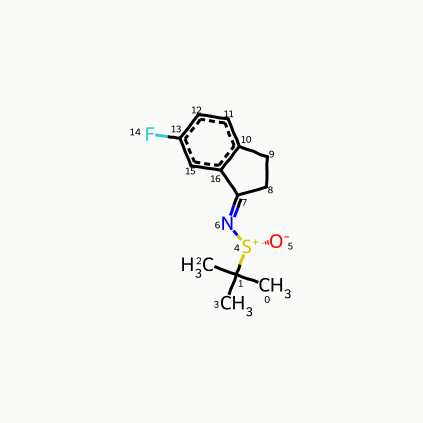 CC(C)(C)[S@@+]([O-])N=C1CCc2ccc(F)cc21